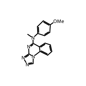 COc1ccc(N(C)c2nc3nncn3c3ccccc23)cc1